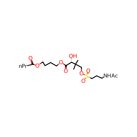 CCCC(=O)OCCCCOC(=O)[C@H](O)C(C)(C)COS(=O)(=O)CCCNC(C)=O